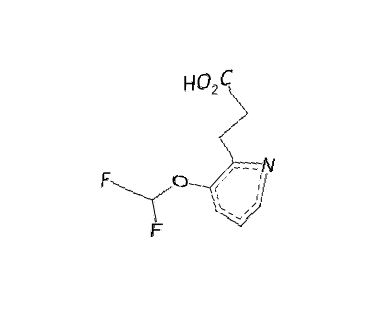 O=C(O)CCc1ncccc1OC(F)F